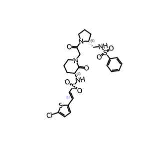 O=C1[C@@H](NS(=O)(=O)/C=C/c2ccc(Cl)s2)CCCN1CC(=O)N1CCC[C@@H]1CNS(=O)(=O)c1ccccc1